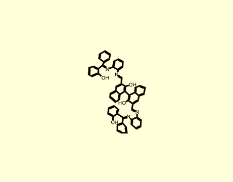 Oc1ccccc1/C(=N/c1ccccc1/N=C/c1cc2ccccc2c(-c2c(O)c(/C=N/c3ccccc3/N=C(\c3ccccc3)c3ccccc3O)cc3ccccc23)c1O)c1ccccc1